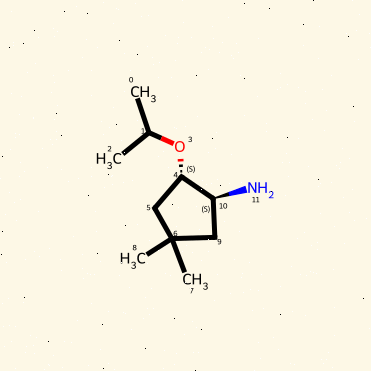 CC(C)O[C@H]1CC(C)(C)C[C@@H]1N